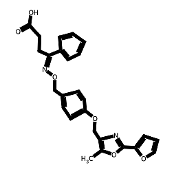 Cc1oc(-c2ccco2)nc1COc1ccc(CON=C(CCC(=O)O)c2ccccc2)cc1